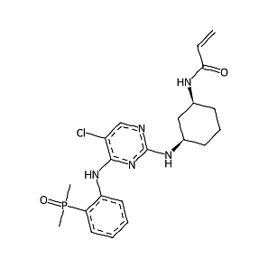 C=CC(=O)N[C@H]1CCC[C@@H](Nc2ncc(Cl)c(Nc3ccccc3P(C)(C)=O)n2)C1